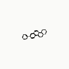 C1=CC2CC=c3c(ccc4cc(-c5ccccc5)ccc34)=C2CC1